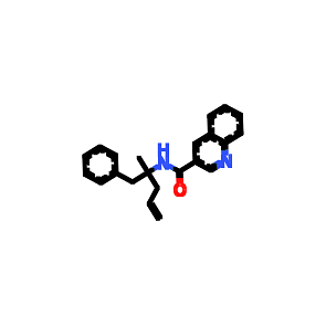 C=CCC(C)(Cc1ccccc1)NC(=O)c1cnc2ccccc2c1